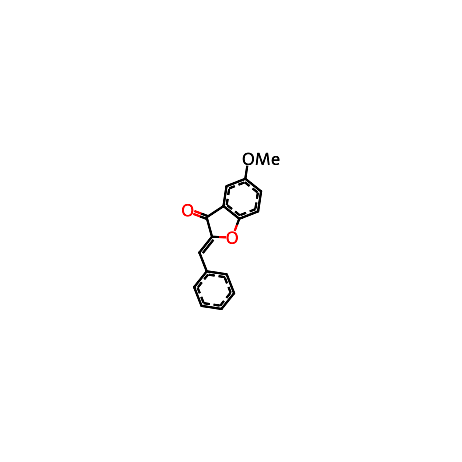 COc1ccc2c(c1)C(=O)C(=Cc1ccccc1)O2